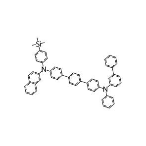 C[Si](C)(C)c1ccc(N(c2ccc(-c3ccc(-c4ccc(N(c5ccccc5)c5cccc(-c6ccccc6)c5)cc4)cc3)cc2)c2ccc3ccccc3c2)cc1